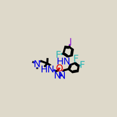 CN(C)CC(C)(C)CNc1nnc(-c2ccc(F)c(F)c2Nc2ccc(I)cc2F)o1